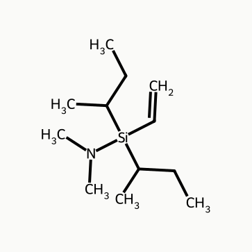 C=C[Si](C(C)CC)(C(C)CC)N(C)C